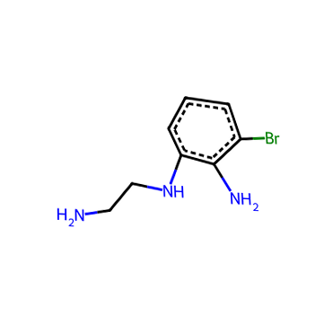 NCCNc1cccc(Br)c1N